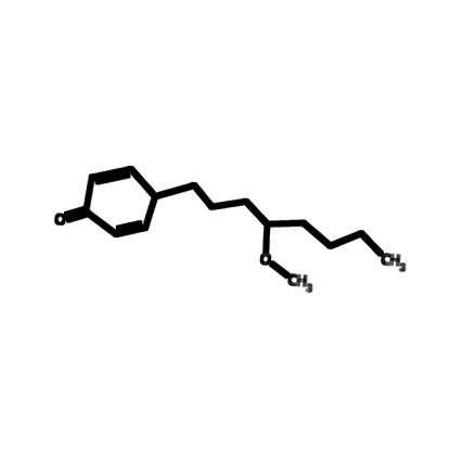 CCCCC(CCCC1C=CC(=O)C=C1)OC